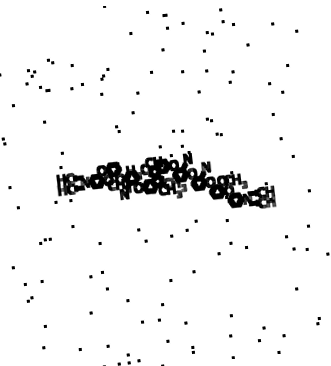 C#CCN(CC#C)c1cccc(Oc2cccc(Oc3cccc(Oc4ccc5c(c4)C4(CC(C)(C)c6ccc(Oc7cccc(Oc8cccc(Oc9cccc(Oc%10cccc(N(CC#C)CC#C)c%10)c9OC)c8C#N)c7C#N)cc64)CC5(C)C)c3C#N)c2OC)c1